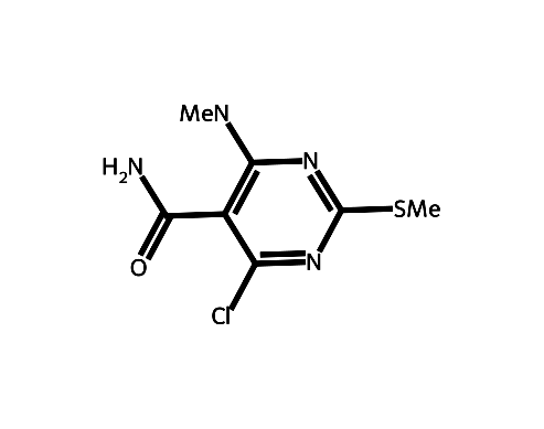 CNc1nc(SC)nc(Cl)c1C(N)=O